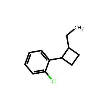 [CH2]CC1CCC1c1ccccc1Cl